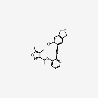 Cc1onc(NSc2cccnc2C#Cc2cc3c(cc2Cl)COC3)c1C